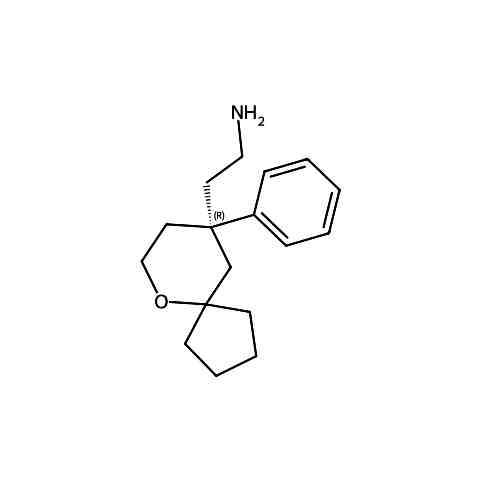 NCC[C@@]1(c2ccccc2)CCOC2(CCCC2)C1